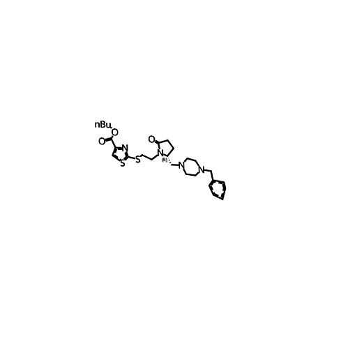 CCCCOC(=O)c1csc(SCCN2C(=O)CC[C@@H]2CN2CCN(Cc3ccccc3)CC2)n1